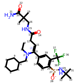 CCN(CC1CCCCC1)/C(=C\CC(=O)NCC(C)(C)C(N)=O)c1ccc([S+]([O-])NC(C)(C)C)c(C(F)(F)F)c1